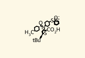 CC(C)(C)C#Cc1cc(N(C(=O)[C@H]2CC[C@H](C)CC2)C2CCC(Sc3cccc[n+]3[O-])CC2)c(C(=O)O)s1